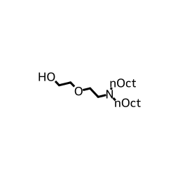 CCCCCCCCN(CCCCCCCC)CCOCCO